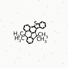 CC1(C)c2cccc3c2-c2c(c4c5ccccc5sc4c4cccc1c24)C3(C)C